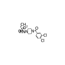 C=CS(=O)(=O)NN1CCN(C(=O)c2ccc(Cl)c(Cl)c2)CC1